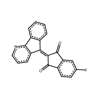 O=C1/C(=C2/c3ccccc3-c3ncccc32)C(=O)c2cc(F)ccc21